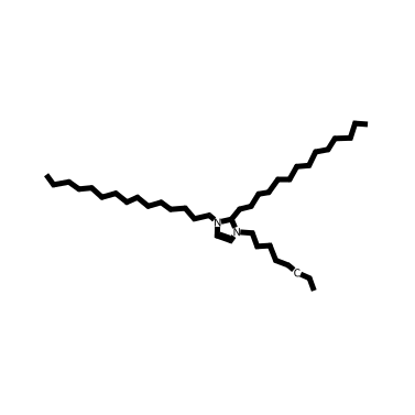 CCCCCCCCCCCCCCCN1C=CN(CCCCCCCC)C1CCCCCCCCCCCCCC